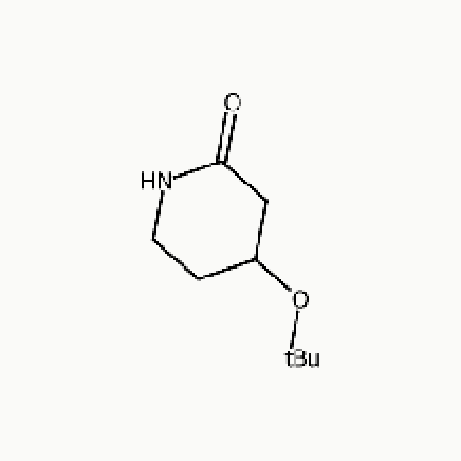 CC(C)(C)OC1CCNC(=O)C1